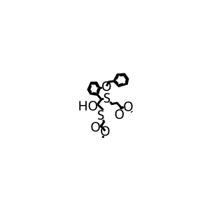 COC(=O)CCSC(c1ccccc1OCc1ccccc1)C(O)CSCC(=O)OC